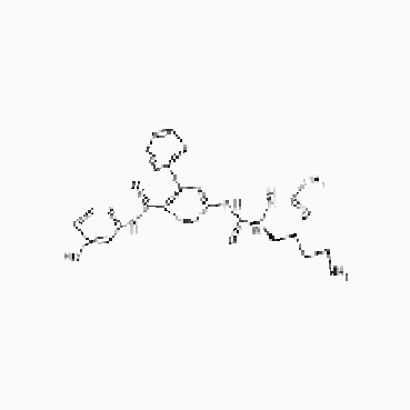 CC(=O)N[C@@H](CCCCN)C(=O)Nc1ccc(C(=O)Nc2cccc(O)c2)c(-c2ccccc2)c1